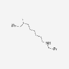 CC(C)CNCCCCCCC(C)CC(C)C